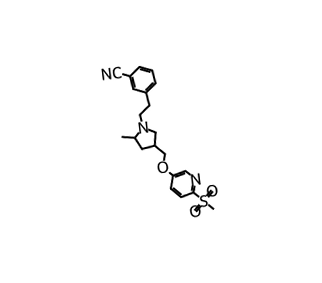 CC1CC(COc2ccc(S(C)(=O)=O)nc2)CN1CCc1cccc(C#N)c1